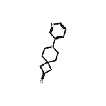 O=C1CC2(CCN(c3cccnc3)CC2)C1